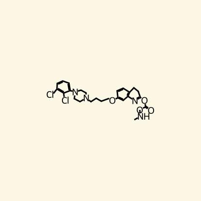 CNOC(=O)OC1=Nc2cc(OCCCCN3CCN(c4cccc(Cl)c4Cl)CC3)ccc2CC1